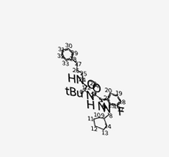 CC(C)(C)C(NC(=O)c1nn(CC2CCCCC2)c2c(F)cccc12)C(=O)NCCCc1ccccc1